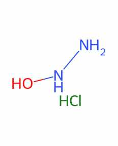 Cl.NNO